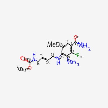 COc1cc(C(N)=O)c(F)c(N)c1NCC=CCNC(=O)OC(C)(C)C